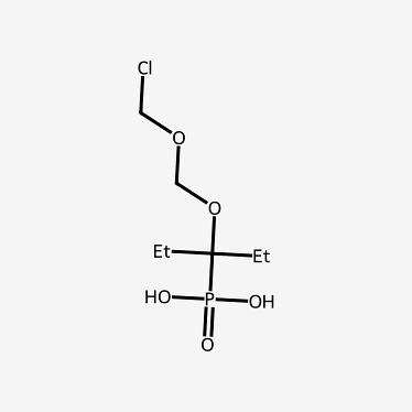 CCC(CC)(OCOCCl)P(=O)(O)O